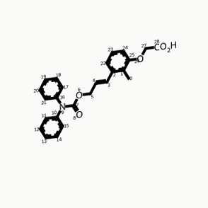 Cc1c(/C=C/COC(=O)N(c2ccccc2)c2ccccc2)cccc1OCC(=O)O